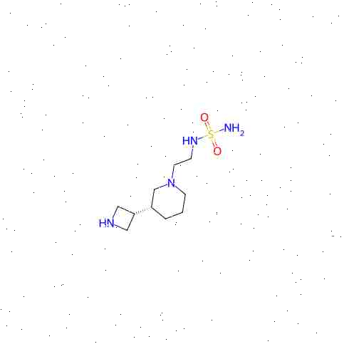 NS(=O)(=O)NCCN1CCC[C@H](C2CNC2)C1